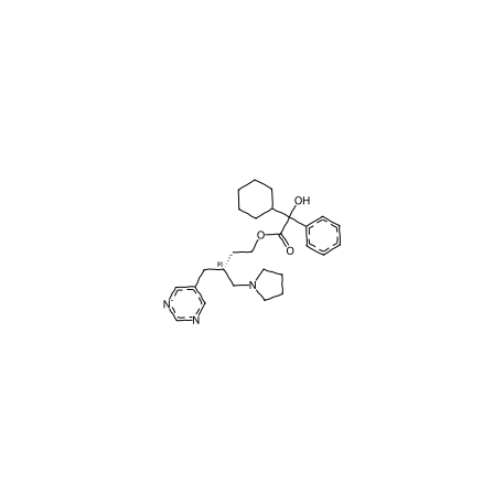 O=C(OCC[C@@H](Cc1cncnc1)CN1CCCC1)C(O)(c1ccccc1)C1CCCCC1